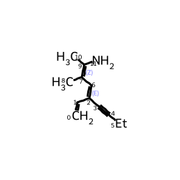 C=C/C(C#CCC)=C\C(C)=C(\C)N